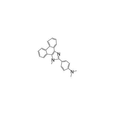 CN(C)c1ccc(-c2nc3c4ccccc4c4ccccc4c3n2C)cc1